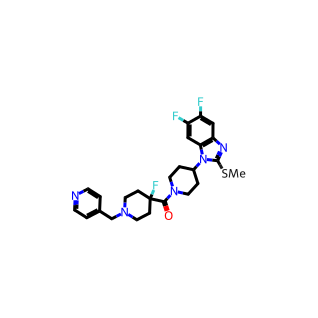 CSc1nc2cc(F)c(F)cc2n1C1CCN(C(=O)C2(F)CCN(Cc3ccncc3)CC2)CC1